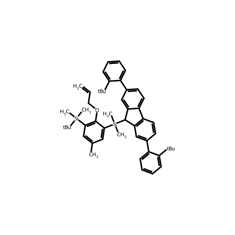 C=CCOc1c([Si](C)(C)C2c3cc(-c4ccccc4C(C)(C)C)ccc3-c3ccc(-c4ccccc4C(C)(C)C)cc32)cc(C)cc1[Si](C)(C)C(C)(C)C